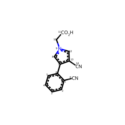 N#Cc1ccccc1-c1cn(CC(=O)O)cc1C#N